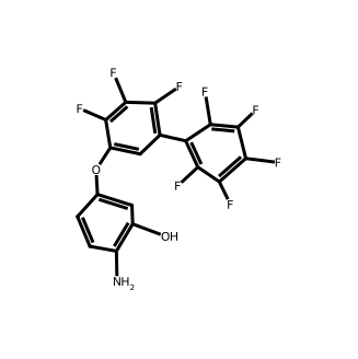 Nc1ccc(Oc2cc(-c3c(F)c(F)c(F)c(F)c3F)c(F)c(F)c2F)cc1O